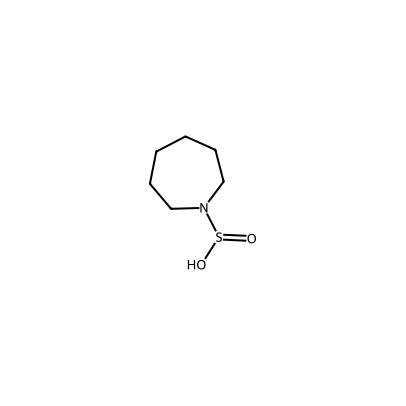 O=S(O)N1CCCCCC1